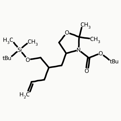 C=CCC(CO[Si](C)(C)C(C)(C)C)CC1COC(C)(C)N1C(=O)OC(C)(C)C